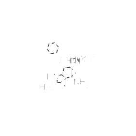 Cc1nc2c(N)nc(C)c(CCc3ccccc3)c2[nH]1.[OH-].[OH-].[Pd+2]